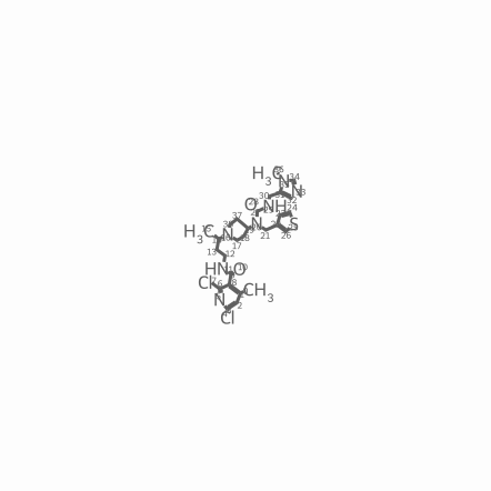 Cc1cc(Cl)nc(Cl)c1C(=O)NCCC(C)N1CCC(N(Cc2ccsc2)C(=O)NCc2cncn2C)CC1